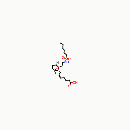 CCCCCCS(=O)(=O)NCC[C@H]1[C@@H](C/C=C\CCCC(=O)O)[C@H]2CC[C@@H]1O2